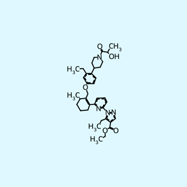 CCOC(=O)c1cnn(-c2cccc(C3=C(COc4ccc(C5CCN(C(=O)C(C)O)CC5)c(CC)c4)C(C)CCC3)n2)c1CC